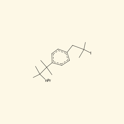 CCCC(C)(C)C(C)(C)c1ccc(CC(C)(C)I)cc1